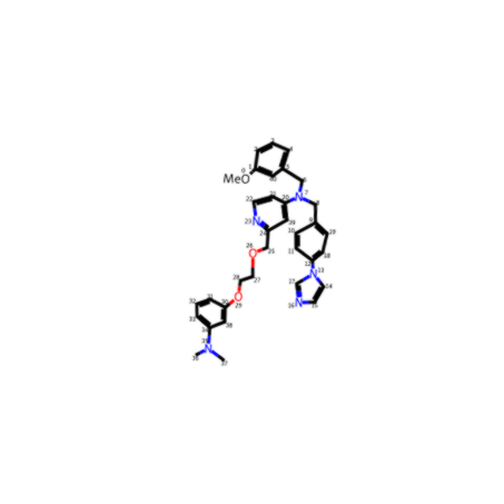 COc1cccc(CN(Cc2ccc(-n3ccnc3)cc2)c2ccnc(COCCOc3cccc(N(C)C)c3)c2)c1